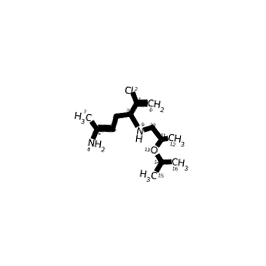 C=C(Cl)C(C/C=C(\C)N)NCC(C)OC(C)C